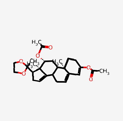 CC(=O)OC1=CC2=CCC3C4=CCC(C5(C)OCCO5)[C@@]4(C)[C@H](OC(C)=O)CC3[C@@]2(C)CC1